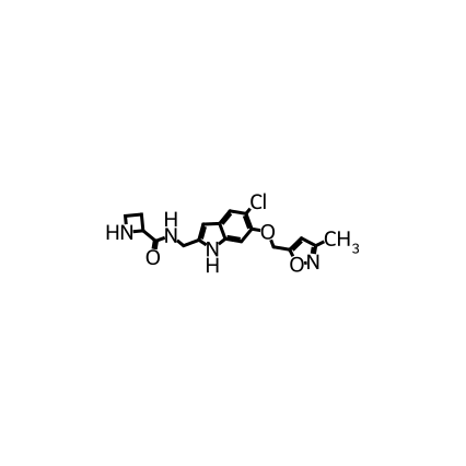 Cc1cc(COc2cc3[nH]c(CNC(=O)C4CCN4)cc3cc2Cl)on1